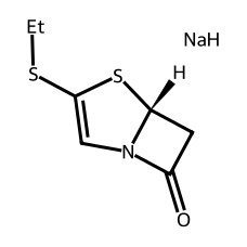 CCSC1=CN2C(=O)C[C@H]2S1.[NaH]